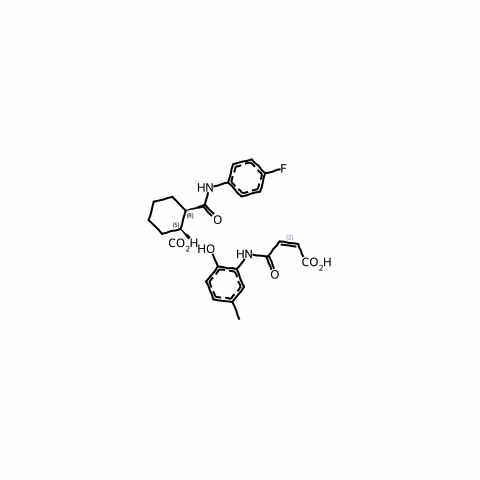 Cc1ccc(O)c(NC(=O)/C=C\C(=O)O)c1.O=C(O)[C@H]1CCCC[C@H]1C(=O)Nc1ccc(F)cc1